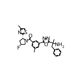 Cc1cc(C(=O)N2C[C@@H](F)C[C@@H]2c2nc(C)cs2)cc(-c2nnc(C(C)(N)Cc3ccccc3)o2)c1